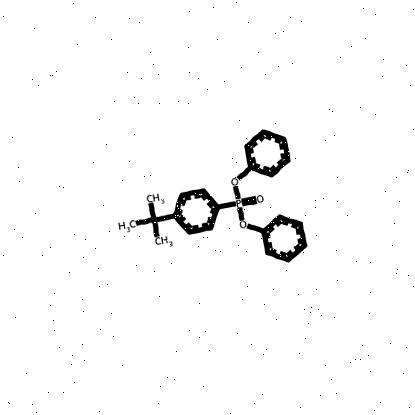 CC(C)(C)c1ccc(P(=O)(Oc2ccccc2)Oc2ccccc2)cc1